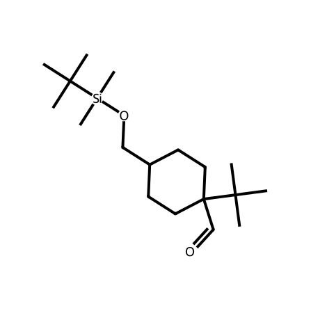 CC(C)(C)C1(C=O)CCC(CO[Si](C)(C)C(C)(C)C)CC1